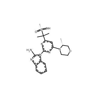 C[C@@H]1COCCN1c1cc(C(C)(C)[S@](C)(=N)=O)nc(-n2c(N)nc3ccccc32)n1